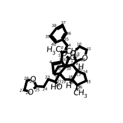 CC(C)C1=CC2CC3(C4OCCO4)[C@@H]4CC[C@@H](C)[C@H]4CC2(C(O)CCC2OCCO2)C13C(=O)OCc1ccccc1